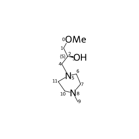 COC[C@@H](O)CN1CCN(C)CC1